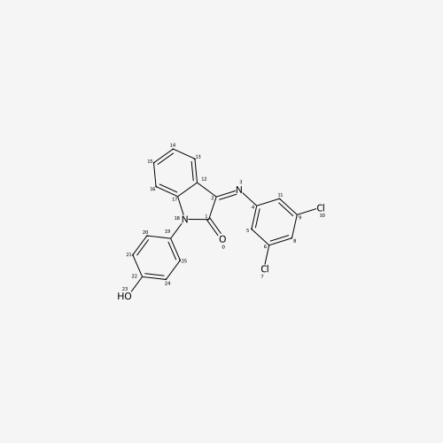 O=C1/C(=N\c2cc(Cl)cc(Cl)c2)c2ccccc2N1c1ccc(O)cc1